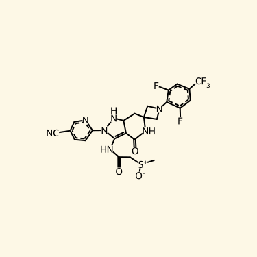 C[S+]([O-])CC(=O)NC1=C2C(=O)NC3(CC2NN1c1ccc(C#N)cn1)CN(c1c(F)cc(C(F)(F)F)cc1F)C3